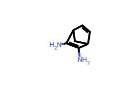 NC1=C(N)C2C=CC1C2